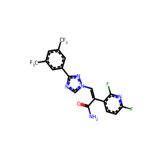 NC(=O)/C(=C\n1cnc(-c2cc(C(F)(F)F)cc(C(F)(F)F)c2)n1)c1ccc(F)nc1F